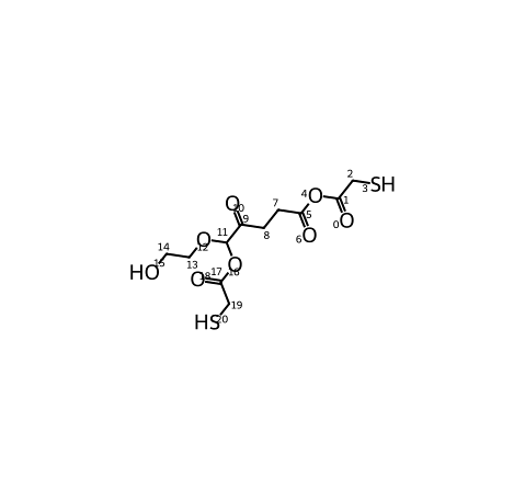 O=C(CS)OC(=O)CCC(=O)C(OCCO)OC(=O)CS